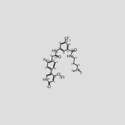 CCOc1cc(=O)[nH]cc1-c1ccc(CC(=O)Nc2cc(C(=O)NCCCN(C)C)cc(C(F)(F)F)c2)c(F)c1